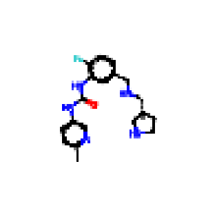 Cc1ccc(NC(=O)Nc2cc(CNC[C@@H]3CCNC3)ccc2F)cn1